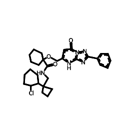 O=C(NCC1(C2CCCCC2Cl)CCC1)C1(OCc2cc(=O)n3nc(-c4ccccc4)nc3[nH]2)CCCCC1